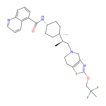 C[C@H](CN1CCc2sc(OCC(C)(F)F)nc2C1)[C@]1(C)CC[C@@H](NC(=O)c2cccc3ncccc23)CC1